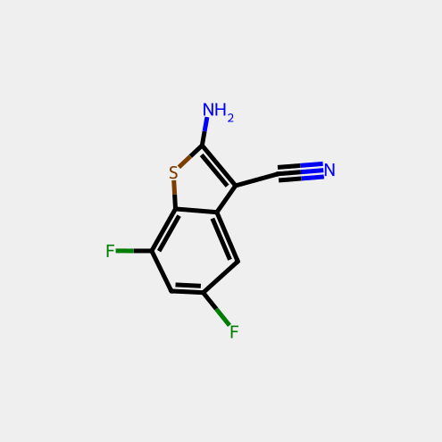 N#Cc1c(N)sc2c(F)cc(F)cc12